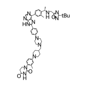 Cc1cc(-c2ncnc3[nH]c(-c4ccc(N5CCN(CC6CCN(c7ccc(N8CCC(=O)NC8=O)c(C)c7)CC6)CC5)cc4)nc23)ccc1[C@@H](C)NCc1nc(C(C)(C)C)no1